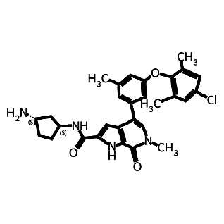 Cc1cc(Oc2c(C)cc(Cl)cc2C)cc(-c2cn(C)c(=O)c3[nH]c(C(=O)N[C@H]4CC[C@H](N)C4)cc23)c1